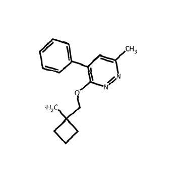 [CH2]C1(COc2nnc(C)cc2-c2ccccc2)CCC1